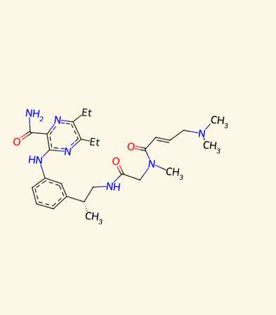 CCc1nc(Nc2cccc([C@@H](C)CNC(=O)CN(C)C(=O)/C=C/CN(C)C)c2)c(C(N)=O)nc1CC